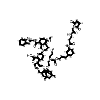 COCCN(CCOC12CC3(C)CC(C)(CC(Cn4ncc(-c5ccc(N6CCc7c(OC)ccc(C(=O)Nc8nc9ccccc9s8)c7C6)nc5C(=O)O)c4C)(C3)C1)C2)C(=O)OC/C=C/c1cc[c]c(NC(=O)CCNC(=O)CN2C(=O)C=CC2=O)c1